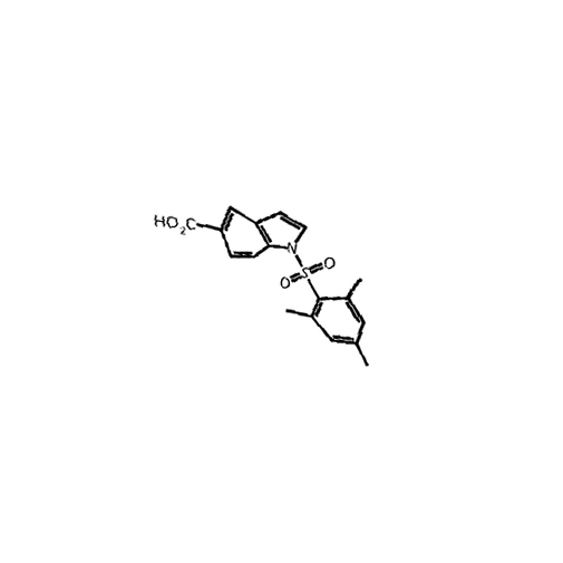 Cc1cc(C)c(S(=O)(=O)n2ccc3cc(C(=O)O)ccc32)c(C)c1